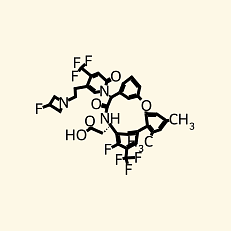 Cc1cc(C)c2c(c1)Oc1cccc(c1)[C@@H](n1cc(CCN3CC(F)C3)c(C(F)(F)F)cc1=O)C(=O)N[C@@H](CC(=O)O)c1cc-2cc(C(F)(F)F)c1F